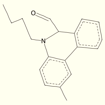 CCCCN1c2ccc(C)cc2-c2ccccc2C1C=O